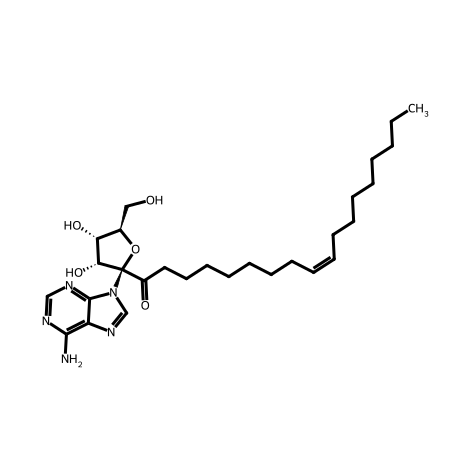 CCCCCCCC/C=C\CCCCCCCC(=O)[C@@]1(n2cnc3c(N)ncnc32)O[C@H](CO)[C@@H](O)[C@H]1O